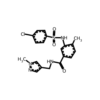 Cc1ccc(C(=O)NCc2cnn(C)c2)cc1NS(=O)(=O)c1ccc(Cl)cc1